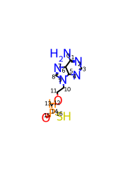 NC1=NC=NC2C1N=CN2CCOC[PH](=O)S